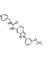 COc1cccc(-n2cc3ccc(NC(=O)NCc4ccncc4)cc3n2)c1